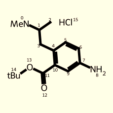 CNC(C)Cc1ccc(N)cc1C(=O)OC(C)(C)C.Cl